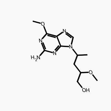 COc1nc(N)nc2c1ncn2C(C)CC(CO)OC